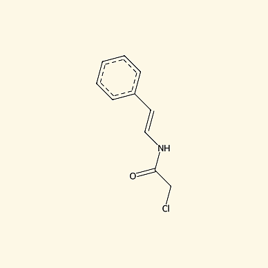 O=C(CCl)NC=Cc1ccccc1